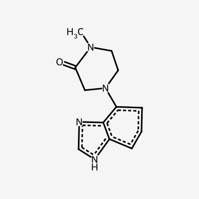 CN1CCN(c2cccc3[nH]cnc23)CC1=O